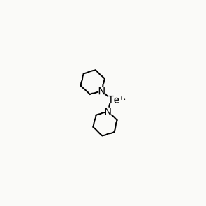 C1CCN([Te+]N2CCCCC2)CC1